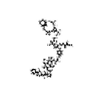 CC[C@H](C)[C@@H]([C@@H](CC(=O)N1CCC[C@H]1[C@H](OC)[C@@H](C)C(=O)N[C@H](C)[C@@H](O)c1ccccc1)OC)N(C)C(=O)[C@@H](NC(=O)[C@H](C(C)C)N(C)C(=O)OCc1ccc(NC(=O)[C@H](CCCNC(N)=O)NC(=O)[C@@H](NC(=O)CCCNC(=O)c2cc3cc(c2)NC(=O)CCSC24CCCCCC2(C4)SCCC(=O)N3)C(C)C)cc1)C(C)C